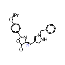 CC(C)Oc1ccc(C2=N/C(=C\C3=CN(Cc4ccccc4)NC3)C(=O)O2)cc1